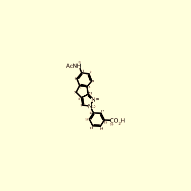 CC(=O)Nc1ccc2c(c1)Cc1cn(-c3cccc(C(=O)O)c3)nc1-2